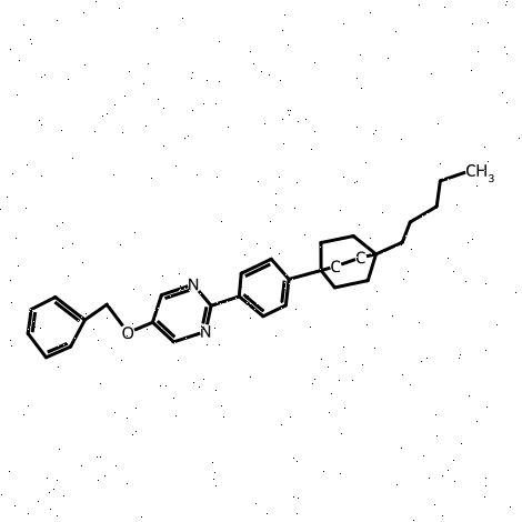 CCCCCC12CCC(c3ccc(-c4ncc(OCc5ccccc5)cn4)cc3)(CC1)CC2